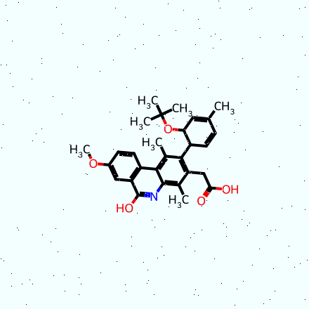 COc1ccc2c(c1)c(O)nc1c(C)c(CC(=O)O)c(C3C=CC(C)=CC3OC(C)(C)C)c(C)c12